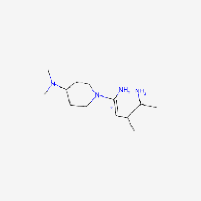 CC(N)C(C)/C=C(\N)N1CCC(N(C)C)CC1